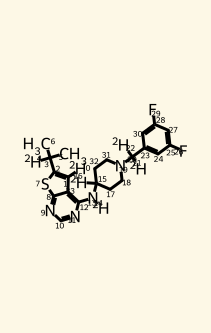 [2H]c1c(C([2H])(C)C)sc2ncnc(N([2H])C3([2H])CCN(C([2H])([2H])c4cc(F)cc(F)c4)CC3)c12